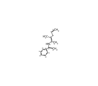 C=CC/C(C)=C(\C)NC(=C)c1ccccc1